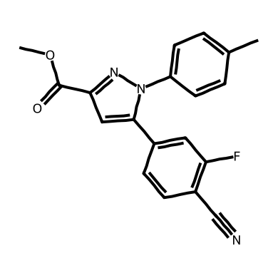 COC(=O)c1cc(-c2ccc(C#N)c(F)c2)n(-c2ccc(C)cc2)n1